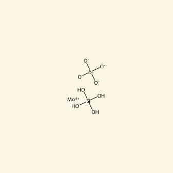 O[Si](O)(O)O.[Mo+4].[O-][Si]([O-])([O-])[O-]